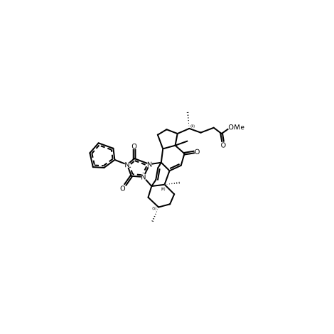 COC(=O)CC[C@@H](C)C1CCC2C1(C)C(=O)C=C1C23C=CC2(C[C@@H](C)CC[C@]12C)n1c(=O)n(-c2ccccc2)c(=O)n13